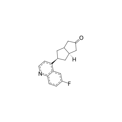 O=C1CC2C[C@H](c3ccnc4ccc(F)cc34)C[C@@H]2C1